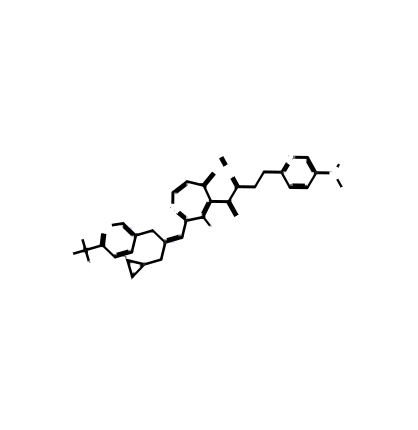 C=C=C(CCc1ccc([S+](C)[O-])cn1)C(=C)C1=C(F)C(/C=C(\CC(/C=C\C(=C)C(F)(F)F)=C/C)CC2CC2)=NC=CC1=C